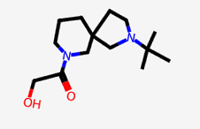 CC(C)(C)N1CCC2(CCCN(C(=O)CO)C2)C1